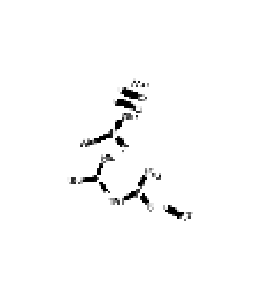 CC(C)(C)P(F)C(C)(C)C.CC(C)(C)P(F)C(C)(C)C.CC(C)(C)P(F)C(C)(C)C.[C]=O.[C]=O.[C]=O.[Mo]